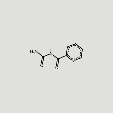 NC(=O)NC(=O)c1ccccn1